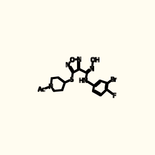 CC(=O)N1CCC(Sc2nonc2/C(=N\O)Nc2ccc(F)c(Br)c2)CC1